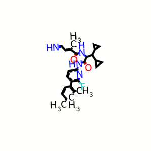 CC/C=C\C(=C(C)C)c1ccc(NC(=O)C(NC(=O)/C(C)=C/C=N)C(C2CC2)C2CC2)nc1F